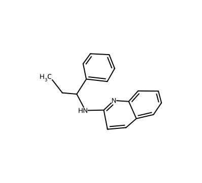 CCC(Nc1ccc2ccccc2n1)c1ccccc1